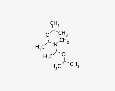 CC(C)OC(C)N(C)C(C)OC(C)C